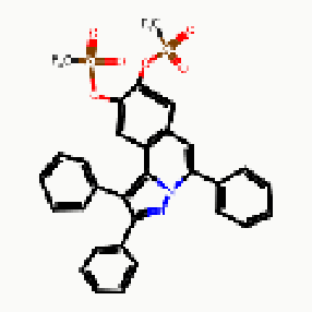 O=S(=O)(Oc1cc2cc(-c3ccccc3)n3nc(-c4ccccc4)c(-c4ccccc4)c3c2cc1OS(=O)(=O)C(F)(F)F)C(F)(F)F